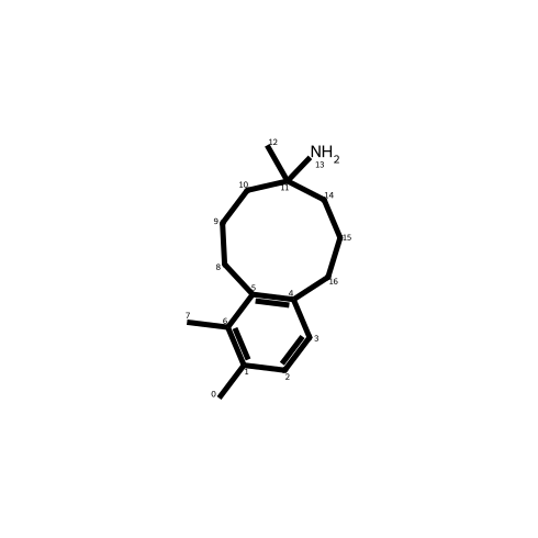 Cc1ccc2c(c1C)CCCC(C)(N)CCC2